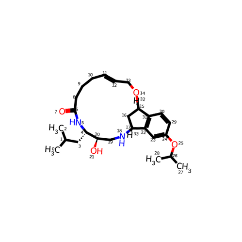 CC(C)C[C@@H]1NC(=O)CCC/C=C/CO[C@@H]2C[C@H](NC[C@H]1O)c1cc(OC(C)C)ccc12